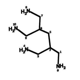 NCC(CN)CC(CN)CN